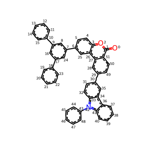 O=c1oc2ccc(-c3cc(-c4ccccc4)cc(-c4ccccc4)c3)cc2c2cc(-c3ccc4c(c3)c3ccccc3n4-c3ccccc3)ccc12